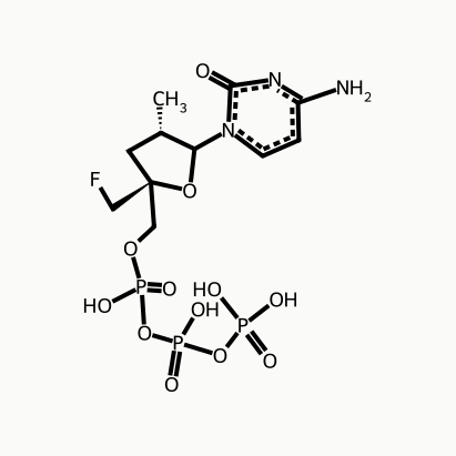 C[C@H]1C[C@@](CF)(COP(=O)(O)OP(=O)(O)OP(=O)(O)O)OC1n1ccc(N)nc1=O